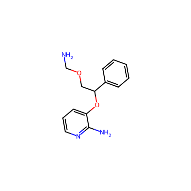 NCOCC(Oc1cccnc1N)c1ccccc1